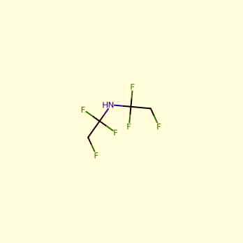 FCC(F)(F)NC(F)(F)CF